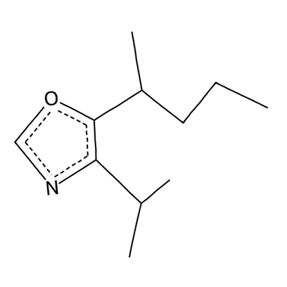 CCCC(C)c1ocnc1C(C)C